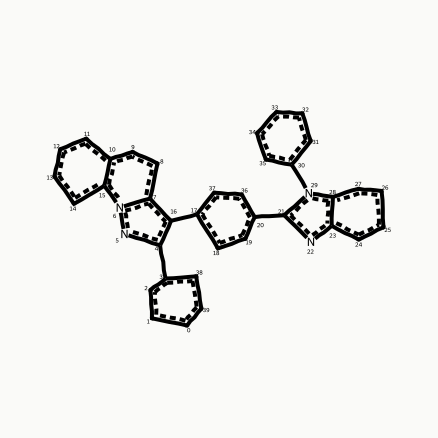 c1ccc(-c2nn3c(ccc4ccccc43)c2-c2ccc(-c3nc4ccccc4n3-c3ccccc3)cc2)cc1